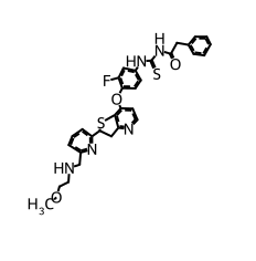 COCCNCc1cccc(C2Cc3nccc(Oc4ccc(NC(=S)NC(=O)Cc5ccccc5)cc4F)c3S2)n1